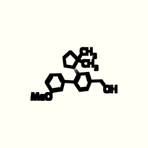 COc1cccc(-c2ccc(CO)cc2[C@@H]2CCCC2(C)C)c1